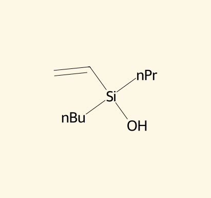 C=C[Si](O)(CCC)CCCC